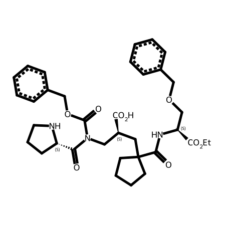 CCOC(=O)[C@H](COCc1ccccc1)NC(=O)C1(C[C@@H](CN(C(=O)OCc2ccccc2)C(=O)[C@@H]2CCCN2)C(=O)O)CCCC1